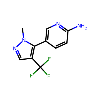 Cn1ncc(C(F)(F)F)c1-c1ccc(N)nc1